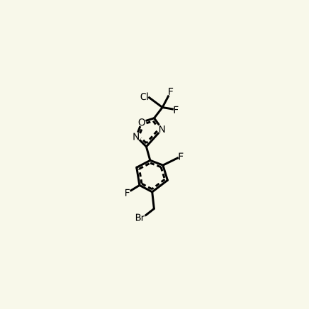 Fc1cc(-c2noc(C(F)(F)Cl)n2)c(F)cc1CBr